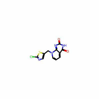 O=c1nc2n(Cc3cnc(Cl)s3)cccc-2c(=O)[nH]1